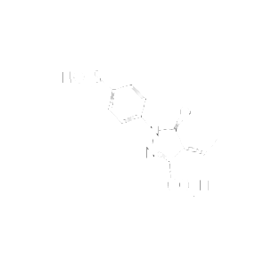 C/C=C1\C(=O)N(c2ccc(S(=O)(=O)O)cc2)N=C1C(=O)O